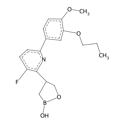 CCCOc1cc(-c2ccc(F)c(C3COB(O)C3)n2)ccc1OC